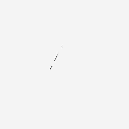 I[IH]I.[AlH3]